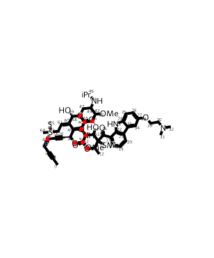 CC#C/C=C\C#C[C@H](OC1OC(C)C(SC)(C(=O)c2nccc3c2[nH]c2ccc(OCCN(C)C)cc23)C(O)C1OC1CC(OC)C(NC(C)C)CO1)C1=C(NC(=O)OC)C(=O)C[C@H](O)/C1=C/CS(C)(=S)=S